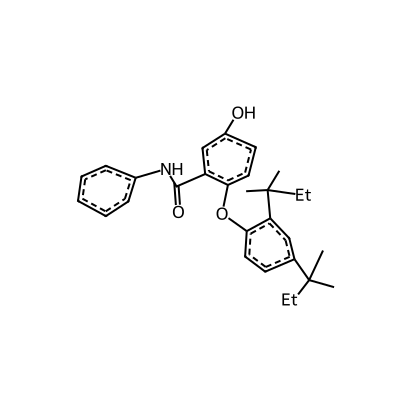 CCC(C)(C)c1ccc(Oc2ccc(O)cc2C(=O)Nc2ccccc2)c(C(C)(C)CC)c1